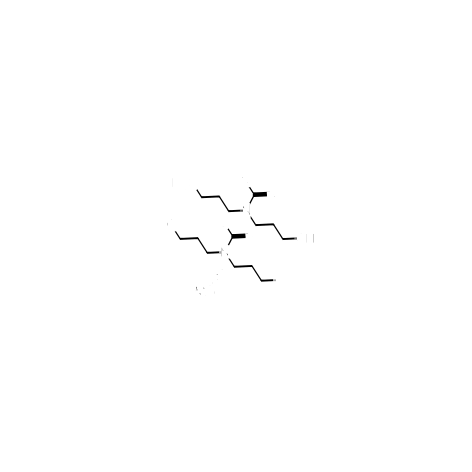 CCCCN(CCCC)C(=S)[S-].CCCCN(CCCC)C(=S)[S-].[Mo+6].[S-2].[S-2]